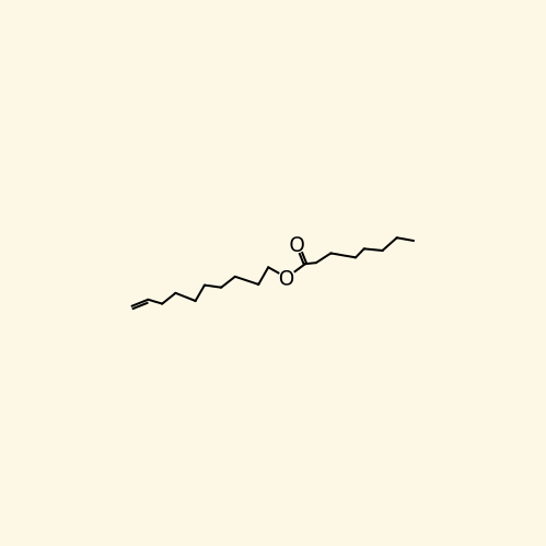 C=CCCCCCCCCOC(=O)CCCCCCC